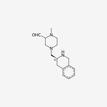 CN1CCN(C[C@@H]2Cc3ccccc3CN2)CC1C=O